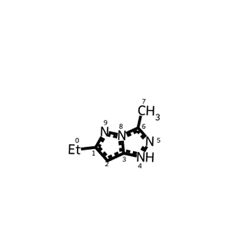 CCc1cc2[nH]nc(C)n2n1